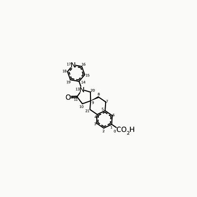 O=C(O)c1ccc2c(c1)CC[C@]1(CC(=O)N(c3ccncc3)C1)C2